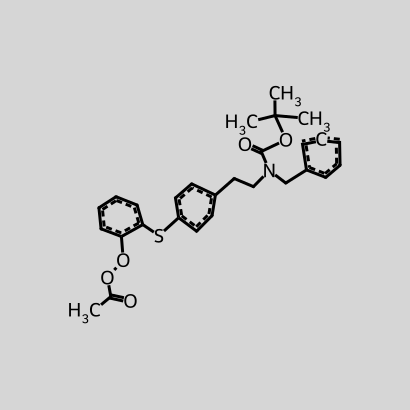 CC(=O)OOc1ccccc1Sc1ccc(CCN(Cc2ccccc2)C(=O)OC(C)(C)C)cc1